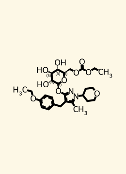 CCOC(=O)OC[C@H]1O[C@@H](Oc2nn(C3CCOCC3)c(C)c2Cc2ccc(OCC)cc2)[C@H](O)[C@@H](O)[C@@H]1O